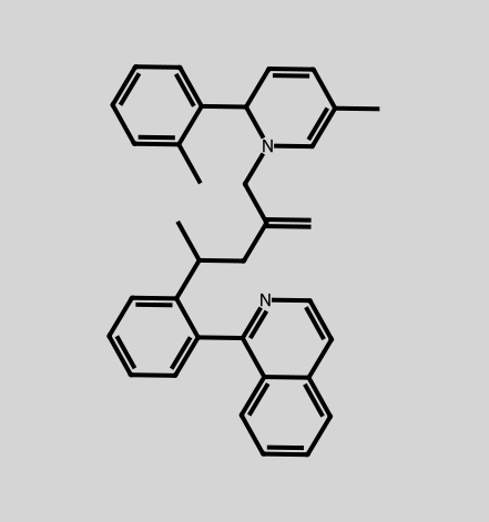 C=C(CC(C)c1ccccc1-c1nccc2ccccc12)CN1C=C(C)C=CC1c1ccccc1C